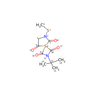 CSN1CC(=O)S2(C1=O)C(=O)N(C(C)(C)C)C2=O